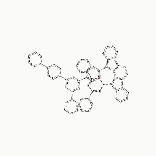 c1ccc(C2=NC(n3c4ccccc4c4ccc5c6ccccc6n(-c6ccc(-c7nc(-c8ccccc8)cc(-c8ccc(-c9ccccc9)cc8)n7)cc6)c5c43)NC(c3ccccc3)=N2)cc1